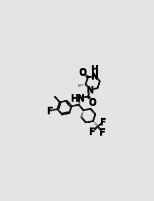 Cc1cc([C@H](NC(=O)N2CCNC(=O)[C@H]2C)[C@H]2CC[C@@H](C(F)(F)F)CC2)ccc1F